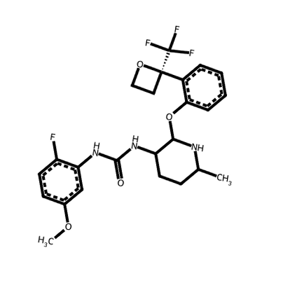 COc1ccc(F)c(NC(=O)NC2CCC(C)NC2Oc2ccccc2[C@@]2(C(F)(F)F)CCO2)c1